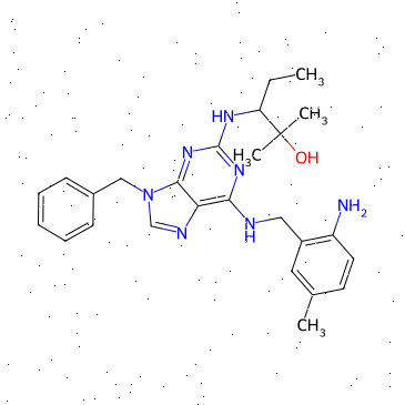 CCC(Nc1nc(NCc2cc(C)ccc2N)c2ncn(Cc3ccccc3)c2n1)C(C)(C)O